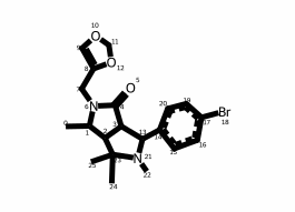 CC1C2C(C(=O)N1CC1=COCO1)C(c1ccc(Br)cc1)N(C)C2(C)C